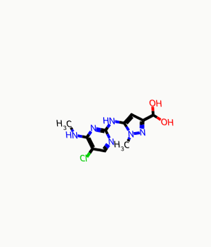 CNc1nc(Nc2cc(C(O)O)nn2C)ncc1Cl